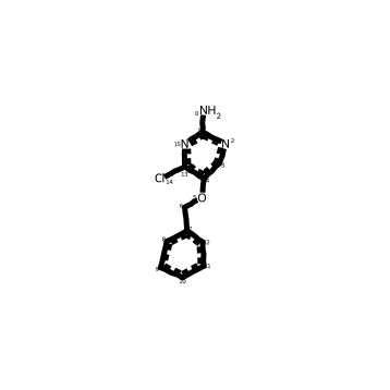 Nc1ncc(OCc2ccccc2)c(Cl)n1